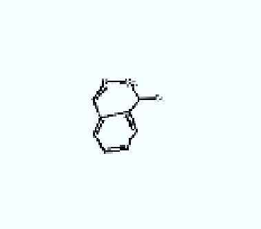 BrC1NN=Cc2ccccc21